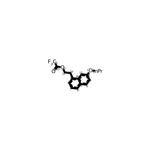 CCCOc1ccc2cccc(CCOC(=O)C(F)(F)F)c2c1